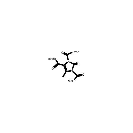 CCCCCC(=O)c1c(C)n(C(=O)OC)c(=O)n1C(=O)OC